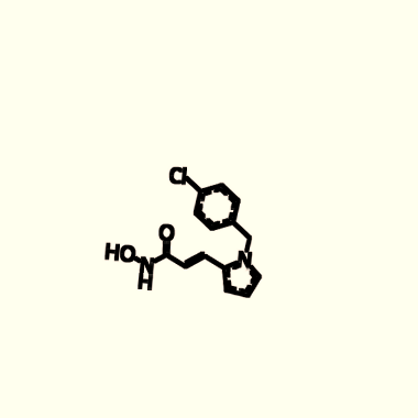 O=C(C=Cc1cccn1Cc1ccc(Cl)cc1)NO